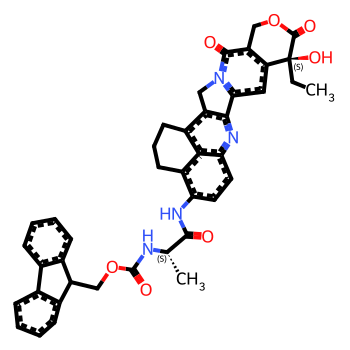 CC[C@@]1(O)C(=O)OCc2c1cc1n(c2=O)Cc2c-1nc1ccc(NC(=O)[C@H](C)NC(=O)OCC3c4ccccc4-c4ccccc43)c3c1c2CCC3